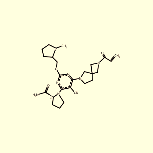 C=CC(=O)N1CC2(CCN(c3nc(OCC4CCCN4C)nc(N4CCC[C@H]4C(N)=O)c3C#N)C2)C1